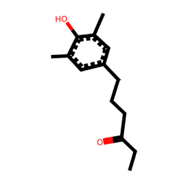 CCC(=O)CC[CH]c1cc(C)c(O)c(C)c1